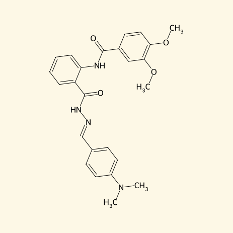 COc1ccc(C(=O)Nc2ccccc2C(=O)NN=Cc2ccc(N(C)C)cc2)cc1OC